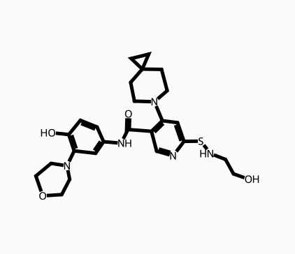 O=C(Nc1ccc(O)c(N2CCOCC2)c1)c1cnc(SNCCO)cc1N1CCC2(CC1)CC2